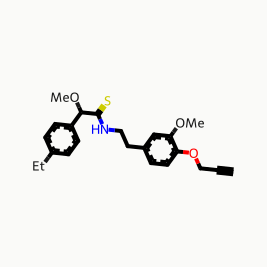 C#CCOc1ccc(CCNC(=S)C(OC)c2ccc(CC)cc2)cc1OC